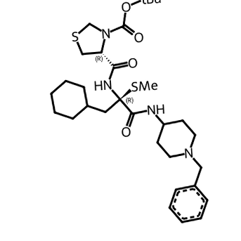 CS[C@@](CC1CCCCC1)(NC(=O)[C@@H]1CSCN1C(=O)OC(C)(C)C)C(=O)NC1CCN(Cc2ccccc2)CC1